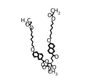 C=CC(=O)OCCCCCCCCOc1ccc2cc(C(=O)CC[C@H]3C(=O)N(C)C(=O)[C@@H]3OC(=O)c3ccc4cc(OCCCCCCCCOC(=O)C=C)ccc4c3)ccc2c1